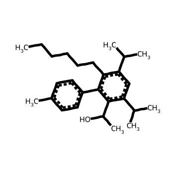 CCCCCCc1c(C(C)C)cc(C(C)C)c(C(C)O)c1-c1ccc(C)cc1